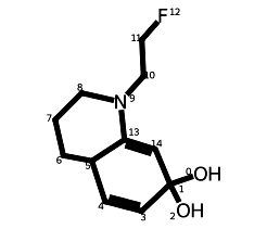 OC1(O)C=CC2CCCN(CCF)C2=C1